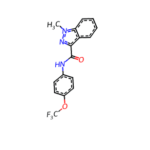 Cn1nc(C(=O)Nc2ccc(OC(F)(F)F)cc2)c2ccccc21